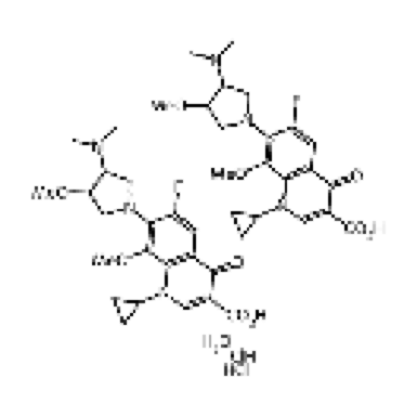 COc1c(N2CC(OC)C(N(C)C)C2)c(F)cc2c(=O)c(C(=O)O)cn(C3CC3)c12.COc1c(N2CC(OC)C(N(C)C)C2)c(F)cc2c(=O)c(C(=O)O)cn(C3CC3)c12.Cl.Cl.O